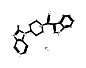 Cc1nc2cnccc2n1C1CCN(C(=O)c2c[nH]c3ccccc23)CC1.Cl